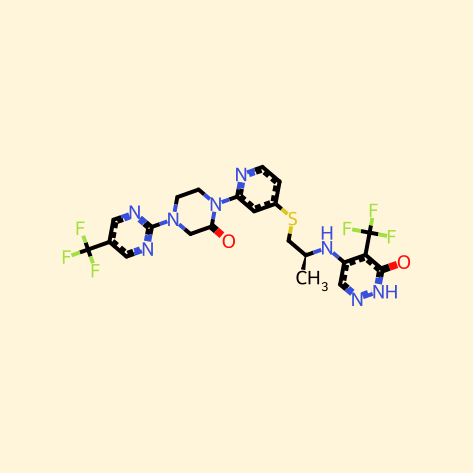 C[C@@H](CSc1ccnc(N2CCN(c3ncc(C(F)(F)F)cn3)CC2=O)c1)Nc1cn[nH]c(=O)c1C(F)(F)F